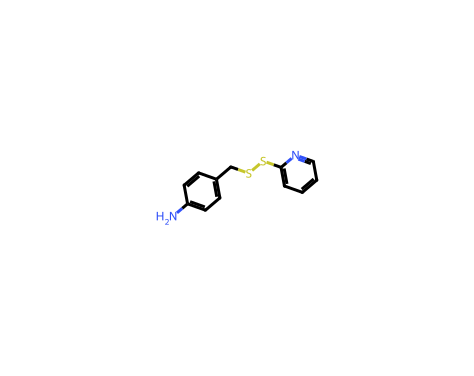 Nc1ccc(CSSc2ccccn2)cc1